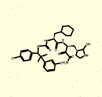 CC(C)(c1cccc(Cl)c1)C(OC(=O)N[C@@H](CC1CCCCC1)C(=O)N[C@@H](C[C@@H]1CCNC1O)C(=O)C(N)=O)c1ccc(Cl)cc1